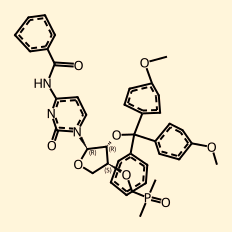 COc1ccc(C(O[C@@H]2[C@@H](OCP(C)(C)=O)CO[C@H]2n2ccc(NC(=O)c3ccccc3)nc2=O)(c2ccccc2)c2ccc(OC)cc2)cc1